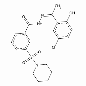 CC(=NNC(=O)c1cccc(S(=O)(=O)N2CCCCC2)c1)c1cc(Cl)ccc1O